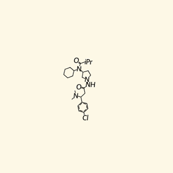 CC(C)C(=O)N(C1CCCCC1)[C@H]1CCN(NC(=O)CC(c2ccc(Cl)cc2)N(C)C)C1